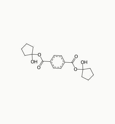 O=C(OC1(O)CCCC1)c1ccc(C(=O)OC2(O)CCCC2)cc1